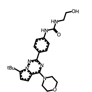 CC(C)(C)c1ccc2c(N3CCOCC3)nc(-c3ccc(NC(=O)NCCO)cc3)nn12